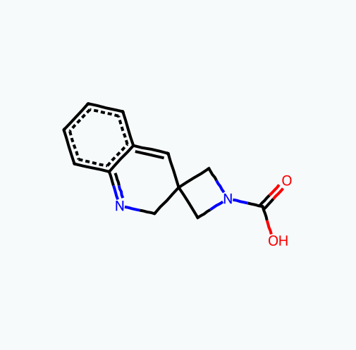 O=C(O)N1CC2(C=c3ccccc3=NC2)C1